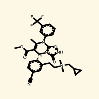 COC(=O)C1=C(C)N(c2cccc(C(F)(F)F)c2)c2n[nH]c(=O)n2[C@@H]1c1ccc(C#N)cc1CC[N+](C)(C)CC1CC1